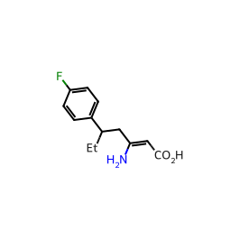 CCC(CC(N)=CC(=O)O)c1ccc(F)cc1